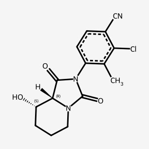 Cc1c(N2C(=O)[C@H]3[C@@H](O)CCCN3C2=O)ccc(C#N)c1Cl